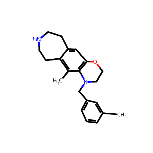 Cc1cccc(CN2CCOc3cc4c(c(C)c32)CCNCC4)c1